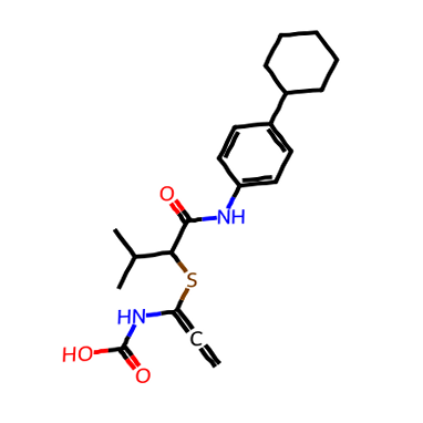 C=C=C(NC(=O)O)SC(C(=O)Nc1ccc(C2CCCCC2)cc1)C(C)C